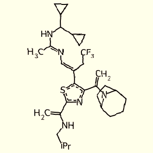 C=C(NCC(C)C)c1nc(C(=C)N2C3CCCC2CC3)c(/C(=C/N=C(\C)NC(C2CC2)C2CC2)CC(F)(F)F)s1